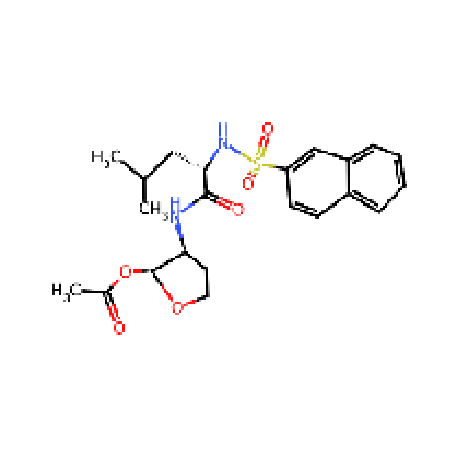 CC(=O)O[C@@H]1OCC[C@@H]1NC(=O)[C@H](CC(C)C)NS(=O)(=O)c1ccc2ccccc2c1